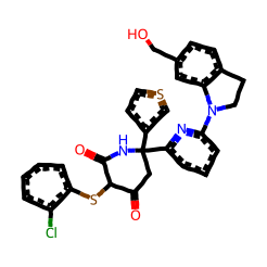 O=C1CC(c2ccsc2)(c2cccc(N3CCc4ccc(CO)cc43)n2)NC(=O)C1Sc1ccccc1Cl